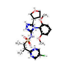 COc1cccc(OC)c1-n1c(NS(=O)(=O)[C@@H](C)[C@H](C)c2ncc(F)cn2)nnc1[C@@H]1CCOC1